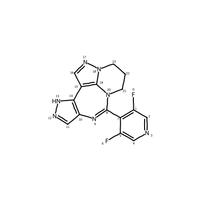 Fc1cncc(F)c1C1=Nc2cn[nH]c2-c2cnn3c2N1CCC3